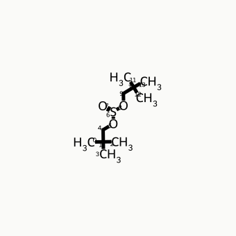 CC(C)(C)COS(=O)OCC(C)(C)C